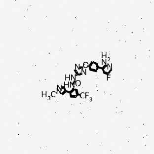 Cn1cc(-c2ccc(C(F)(F)F)cc2NC(=O)Nc2cnc(Oc3ccc(-c4cc(F)cnc4N)cc3)nc2)cn1